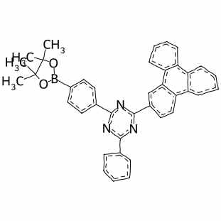 CC1(C)OB(c2ccc(-c3nc(-c4ccccc4)nc(-c4ccc5c6ccccc6c6ccccc6c5c4)n3)cc2)OC1(C)C